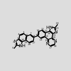 Cc1nc2ccc3cc(-c4ccc5c(c4)c4nccnc4c4nc(C)[nH]c54)ccc3c2[nH]1